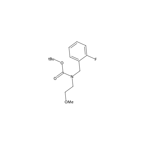 COCCN(Cc1ccccc1F)C(=O)OC(C)(C)C